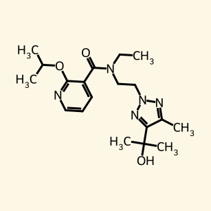 CCN(CCn1nc(C)c(C(C)(C)O)n1)C(=O)c1cccnc1OC(C)C